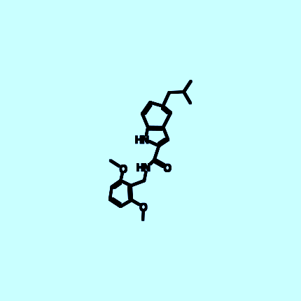 COc1cccc(OC)c1CNC(=O)c1cc2cc(CC(C)C)ccc2[nH]1